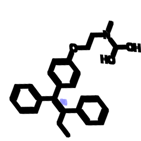 CC/C(=C(\c1ccccc1)c1ccc(OCCN(C)C(O)O)cc1)c1ccccc1